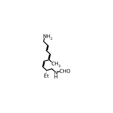 CC[C@H](\C=C/C(C)=C\C=C\CN)CNC=O